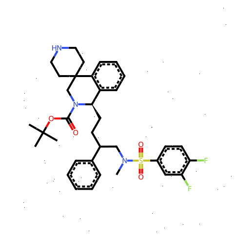 CN(CC(CC[C@@H]1c2ccccc2C2(CCNCC2)CN1C(=O)OC(C)(C)C)c1ccccc1)S(=O)(=O)c1ccc(F)c(F)c1